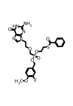 COc1ccc(COP(=O)(COCCn2cnc3c(=O)[nH]c(N)nc32)OCCSC(=O)c2ccccc2)cc1F